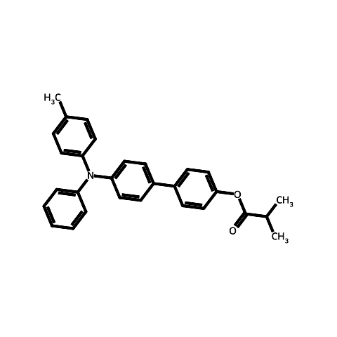 Cc1ccc(N(c2ccccc2)c2ccc(-c3ccc(OC(=O)C(C)C)cc3)cc2)cc1